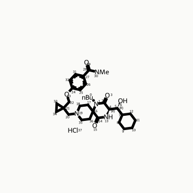 CCCCN1C(=O)[C@@H]([C@H](O)C2CCCCC2)NC(=O)C12CCN(CC1(COc3ccc(C(=O)NC)cc3)CC1)CC2.Cl